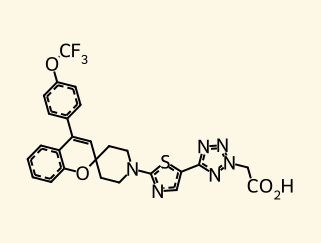 O=C(O)Cn1nnc(-c2cnc(N3CCC4(C=C(c5ccc(OC(F)(F)F)cc5)c5ccccc5O4)CC3)s2)n1